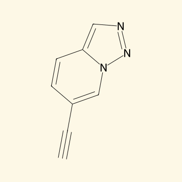 C#Cc1ccc2cnnn2c1